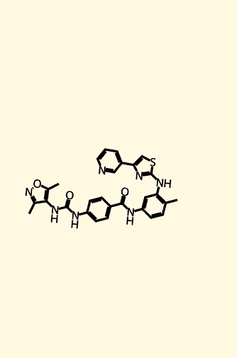 Cc1ccc(NC(=O)c2ccc(NC(=O)Nc3c(C)noc3C)cc2)cc1Nc1nc(-c2cccnc2)cs1